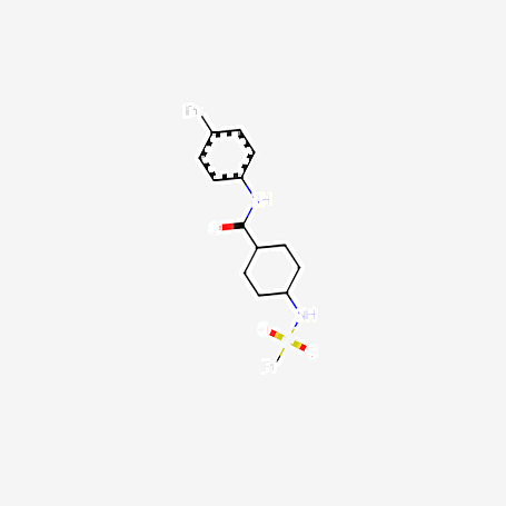 CC(C)c1ccc(NC(=O)C2CCC(NS(=O)(=O)C(C)C)CC2)cc1